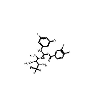 CC(C(N)N/C(=N\C(=O)c1ccc(F)c(F)c1)Nc1cc(F)cc(Cl)c1)C(N)C(F)(F)F